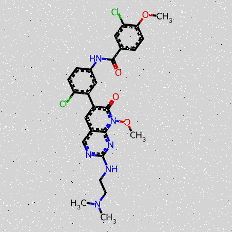 COc1ccc(C(=O)Nc2ccc(Cl)c(-c3cc4cnc(NCCN(C)C)nc4n(OC)c3=O)c2)cc1Cl